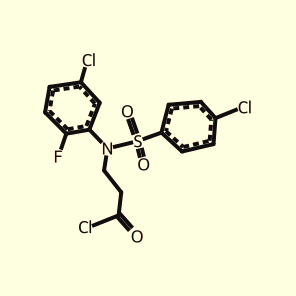 O=C(Cl)CCN(c1cc(Cl)ccc1F)S(=O)(=O)c1ccc(Cl)cc1